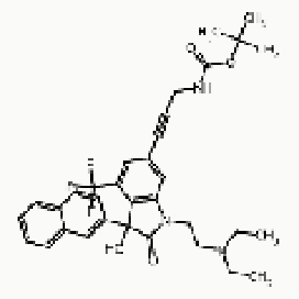 CCN(CC)CCN1C(=O)C(O)(c2ccc3ccccc3c2)c2c1cc(C#CCNC(=O)OC(C)(C)C)cc2C(F)(F)F